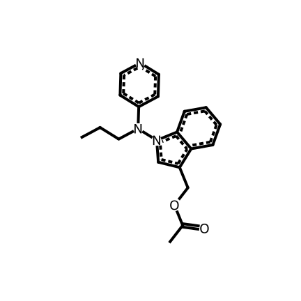 CCCN(c1ccncc1)n1cc(COC(C)=O)c2ccccc21